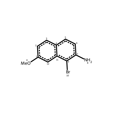 COc1ccc2ccc(N)c(Br)c2c1